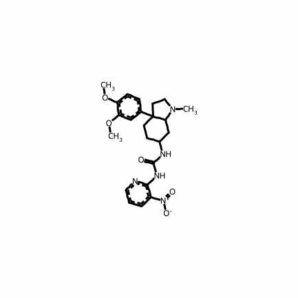 COc1ccc(C23CCC(NC(=O)Nc4ncccc4[N+](=O)[O-])CC2N(C)CC3)cc1OC